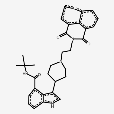 CC(C)(C)NC(=O)c1cccc2[nH]cc(C3CCN(CCN4C(=O)c5cccc6cccc(c56)C4=O)CC3)c12